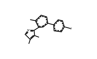 CC1=C(C)C(c2cc(-c3ccc(F)cc3)ccc2C)=[N+]=C1